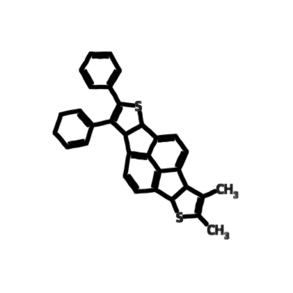 CC1=C(C)C2c3ccc4c5c(ccc(c35)C2S1)C1C(C2=CCCC=C2)=C(c2ccccc2)SC41